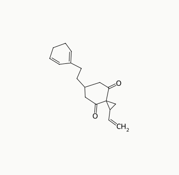 C=CC1CC12C(=O)CC(CCC1=CCCC=C1)CC2=O